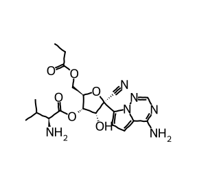 CCC(=O)OC[C@H]1O[C@@](C#N)(c2ccc3c(N)ncnn23)[C@H](O)[C@@H]1OC(=O)[C@@H](N)C(C)C